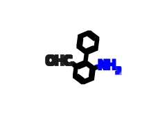 Nc1cccc(C=O)c1-c1ccccc1